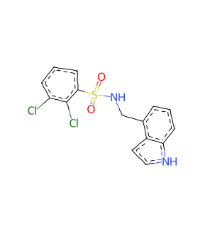 O=S(=O)(NCc1cccc2[nH]ccc12)c1cccc(Cl)c1Cl